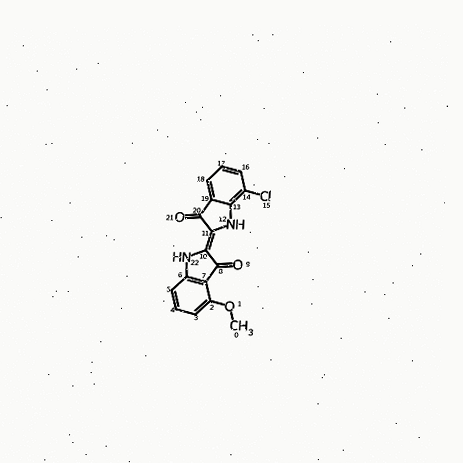 COc1cccc2c1C(=O)/C(=C1\Nc3c(Cl)cccc3C1=O)N2